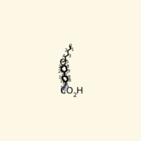 C=CCCCCOc1ccc(-c2ccc(/C=C/C(=O)O)cc2)cc1